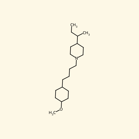 CCC(C)C1CCN(CCCCC2CCC(OC)CC2)CC1